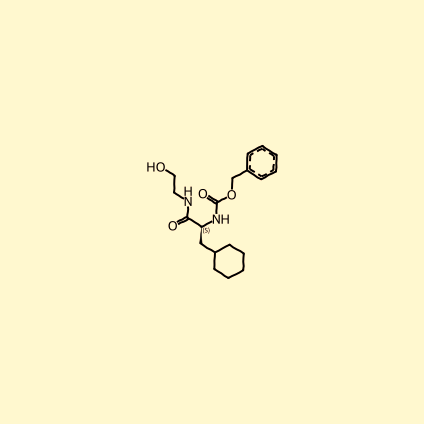 O=C(N[C@@H](CC1CCCCC1)C(=O)NCCO)OCc1ccccc1